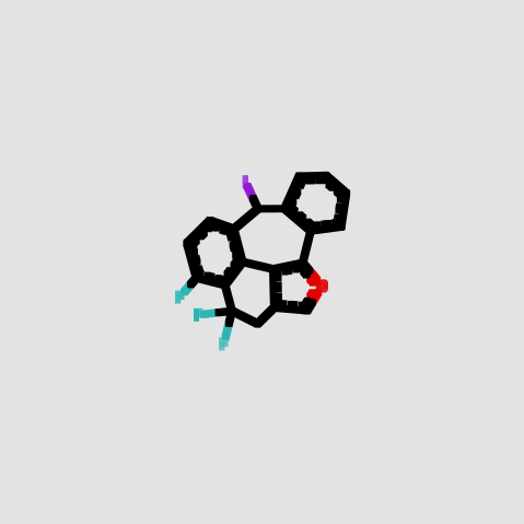 Fc1ccc2c3c1C(F)(F)Cc1coc(c1-3)-c1ccccc1C2I